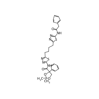 CC1(C)OCC(C(=O)Nc2nnc(CCCCc3nnc(NC(=O)Cc4ccccc4)s3)s2)(c2ccccc2)O1